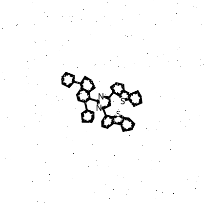 c1ccc(-c2ccc3c(-c4ccccc4)cccc3c2-c2nc(-c3cccc4c3sc3ccccc34)cc(-c3cccc4c3sc3ccccc34)n2)cc1